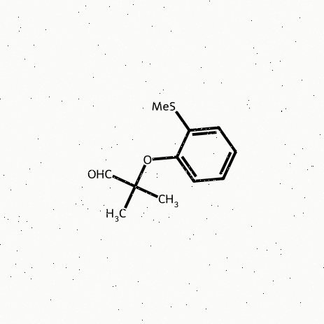 CSc1ccccc1OC(C)(C)C=O